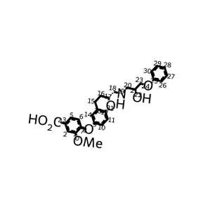 COc1cc(C(=O)O)ccc1Oc1ccc2c(c1)CC[C@H](CNC[C@H](O)COc1ccccc1)O2